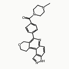 CN1CCN(C(=O)c2ccc(-c3nc4ccc5[nH]ncc5c4c4c3COCC4)cc2)CC1